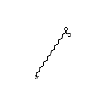 O=C(Cl)CCCCCCCCCCCCCCCBr